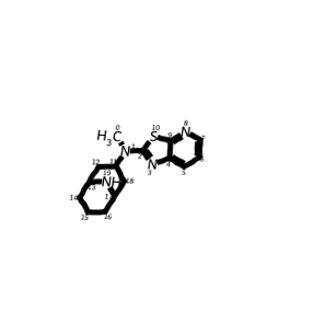 CN(c1nc2cccnc2s1)C1CC2CCCC(C1)N2